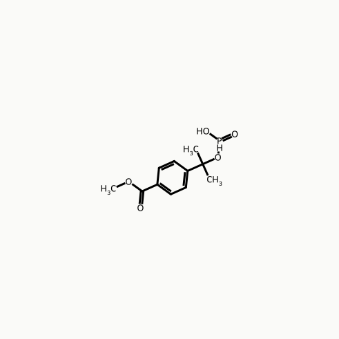 COC(=O)c1ccc(C(C)(C)O[PH](=O)O)cc1